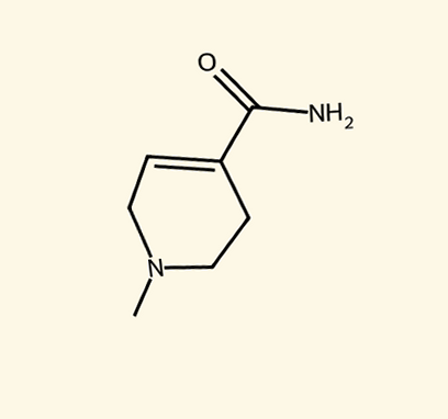 CN1CC=C(C(N)=O)CC1